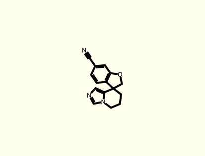 N#Cc1ccc2c(c1)OCC21CCCn2cncc21